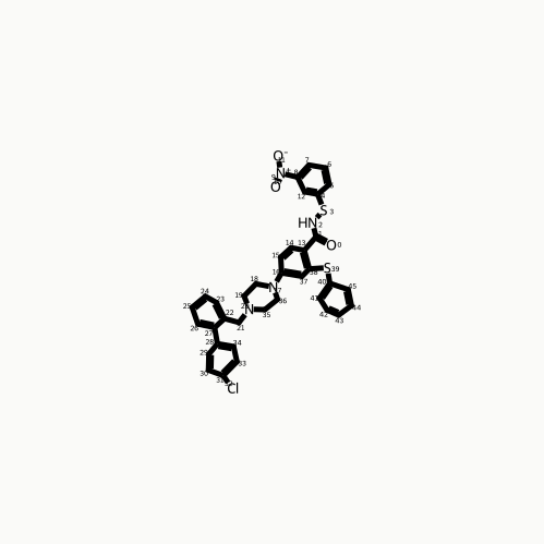 O=C(NSc1cccc([N+](=O)[O-])c1)c1ccc(N2CCN(Cc3ccccc3-c3ccc(Cl)cc3)CC2)cc1Sc1ccccc1